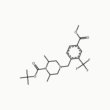 COC(=O)c1ccc(CN2CC(C)N(C(=O)OC(C)(C)C)C(C)C2)c(C(F)(F)F)c1